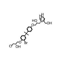 CC(C)(c1ccc(OC[C@H](O)CN2NNC=C2CO)cc1)c1ccc(OC[C@H](O)CCl)c(Br)c1